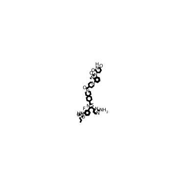 CCCS(=O)(=O)Nc1cccc(-c2nc(C3CCC4(CC3)CCN(C(=O)C3CCN(c5cccc6c5n(C)c(=O)n6[C@@H]5CCC(=O)NC5=O)CC3)CC4)sc2-c2ccnc(N)n2)c1F